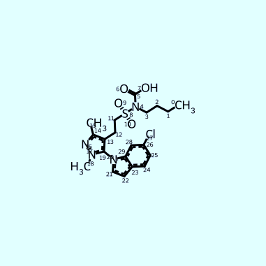 CCCCN(C(=O)O)S(=O)(=O)CCc1c(C)nn(C)c1-n1ccc2ccc(Cl)cc21